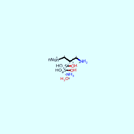 CCCCCCCCCCCCN.N.O.O=S(=O)(O)O.O=S(=O)(O)O